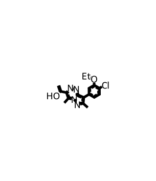 C=C(O)c1nnc2c(-c3ccc(Cl)c(OCC)c3)c(C)nn2c1C